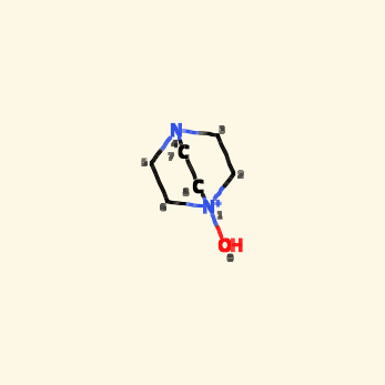 O[N+]12CCN(CC1)CC2